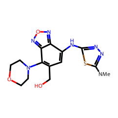 CNc1nnc(Nc2cc(CO)c(N3CCOCC3)c3nonc23)s1